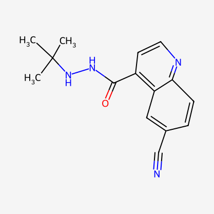 CC(C)(C)NNC(=O)c1ccnc2ccc(C#N)cc12